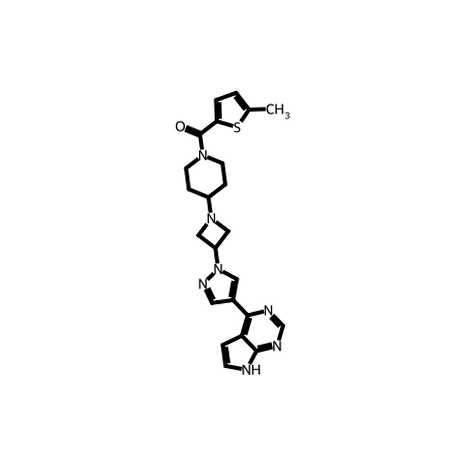 Cc1ccc(C(=O)N2CCC(N3CC(n4cc(-c5ncnc6[nH]ccc56)cn4)C3)CC2)s1